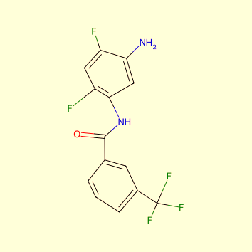 Nc1cc(NC(=O)c2cccc(C(F)(F)F)c2)c(F)cc1F